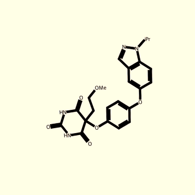 COCCC1(Oc2ccc(Oc3ccc4c(cnn4C(C)C)c3)cc2)C(=O)NC(=O)NC1=O